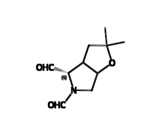 CC1(C)CC2C(CN(C=O)[C@@H]2C=O)O1